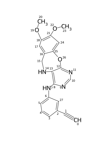 C#Cc1cccc(Nc2ncnc3c2NCc2cc(OC)c(OC)cc2O3)c1